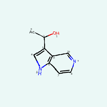 CC(=O)C(O)c1c[nH]c2ccncc12